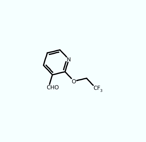 O=Cc1cccnc1OCC(F)(F)F